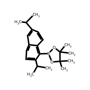 CC(C)c1ccc2c(B3OC(C)(C)C(C)(C)O3)c(C(C)C)ccc2c1